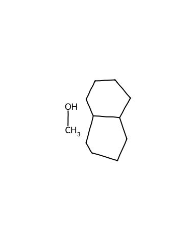 C1CCC2CCCCC2C1.CO